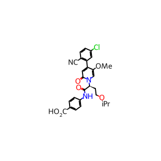 COc1cn([C@@H](CCOC(C)C)C(=O)Nc2ccc(C(=O)O)cc2)c(=O)cc1-c1cc(Cl)ccc1C#N